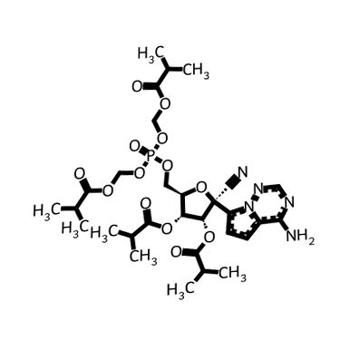 CC(C)C(=O)OCOP(=O)(OCOC(=O)C(C)C)OC[C@H]1O[C@@](C#N)(c2ccc3c(N)ncnn23)[C@H](OC(=O)C(C)C)[C@@H]1OC(=O)C(C)C